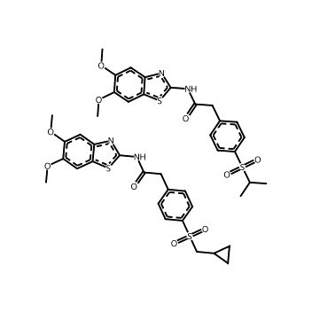 COc1cc2nc(NC(=O)Cc3ccc(S(=O)(=O)C(C)C)cc3)sc2cc1OC.COc1cc2nc(NC(=O)Cc3ccc(S(=O)(=O)CC4CC4)cc3)sc2cc1OC